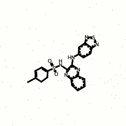 CC1=CC=C(S(=O)(=O)Nc2nc3ccccc3nc2Nc2ccc3nsnc3c2)CC1